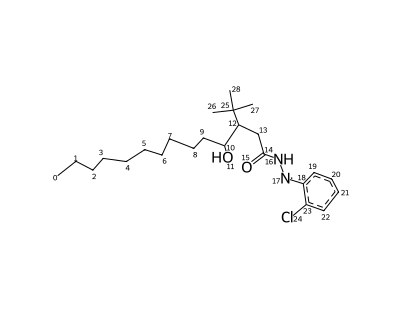 CCCCCCCCCCC(O)C(CC(=O)N[N]c1ccccc1Cl)C(C)(C)C